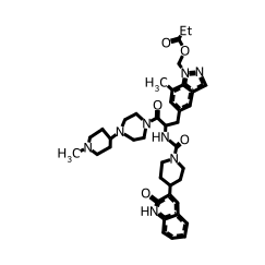 CCC(=O)OCn1ncc2cc(CC(NC(=O)N3CCC(c4cc5ccccc5[nH]c4=O)CC3)C(=O)N3CCN(C4CCN(C)CC4)CC3)cc(C)c21